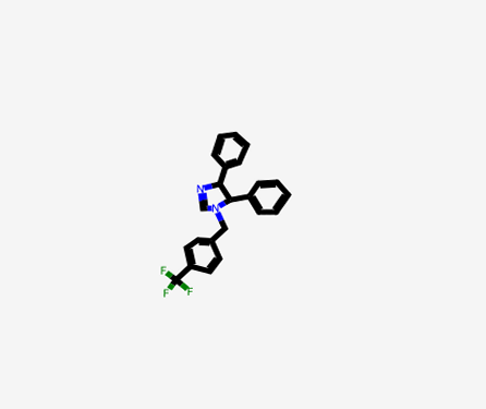 FC(F)(F)c1ccc(CN2C=NC(c3ccccc3)C2c2ccccc2)cc1